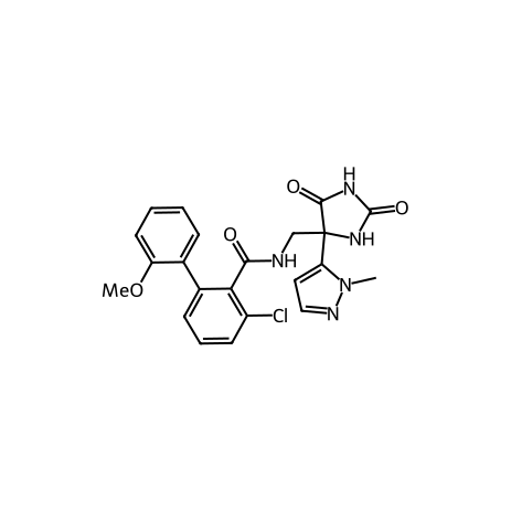 COc1ccccc1-c1cccc(Cl)c1C(=O)NCC1(c2ccnn2C)NC(=O)NC1=O